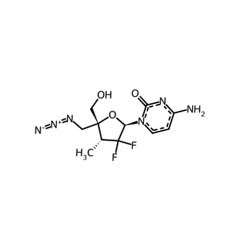 C[C@H]1C(F)(F)[C@H](n2ccc(N)nc2=O)O[C@@]1(CO)CN=[N+]=[N-]